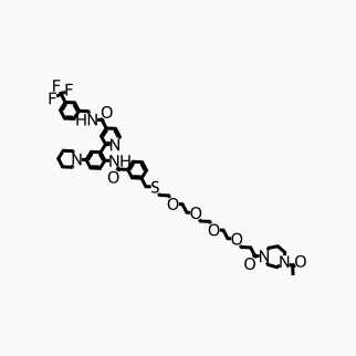 CC(=O)N1CCCN(C(=O)CCOCCOCCOCCOCCSCc2cccc(C(=O)Nc3ccc(N4CCCCC4)cc3-c3cc(C(=O)NCc4cccc(C(F)(F)F)c4)ccn3)c2)CC1